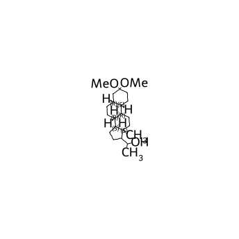 COC1(OC)CC[C@H]2[C@H](CC[C@@H]3[C@@H]2CC[C@]2(C)C(C(C)O)CC[C@@H]32)C1